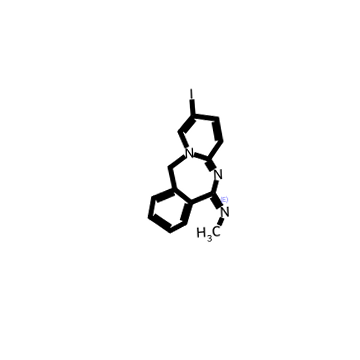 C/N=C1/N=C2C=CC(I)=CN2Cc2ccccc21